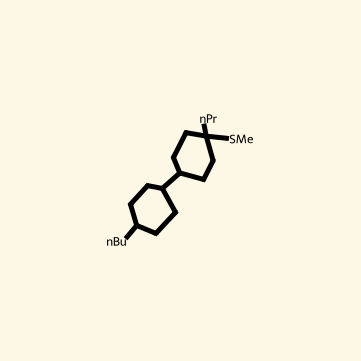 CCCCC1CCC(C2CCC(CCC)(SC)CC2)CC1